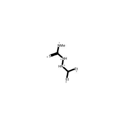 CCC(CC)NNC(=S)NC